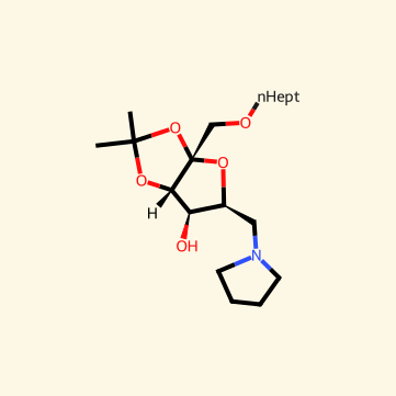 CCCCCCCOC[C@@]12O[C@@H](CN3CCCC3)[C@@H](O)[C@@H]1OC(C)(C)O2